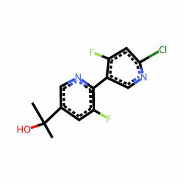 CC(C)(O)c1cnc(-c2cnc(Cl)cc2F)c(F)c1